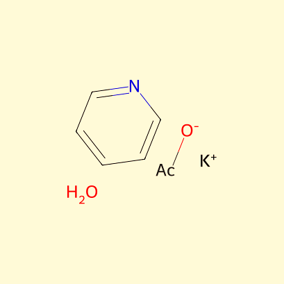 CC(=O)[O-].O.[K+].c1ccncc1